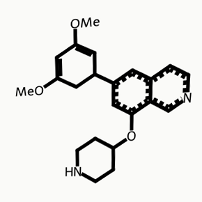 COC1=CC(c2cc(OC3CCNCC3)c3cnccc3c2)CC(OC)=C1